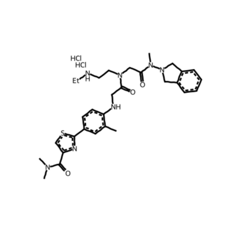 CCNCCN(CC(=O)N(C)N1Cc2ccccc2C1)C(=O)CNc1ccc(-c2nc(C(=O)N(C)C)cs2)cc1C.Cl.Cl